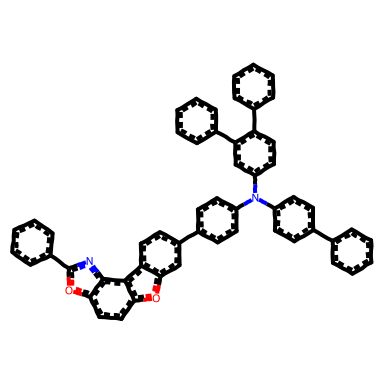 c1ccc(-c2ccc(N(c3ccc(-c4ccc5c(c4)oc4ccc6oc(-c7ccccc7)nc6c45)cc3)c3ccc(-c4ccccc4)c(-c4ccccc4)c3)cc2)cc1